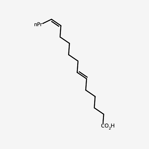 CCC/C=C\CCCC/C=C/CCCCC(=O)O